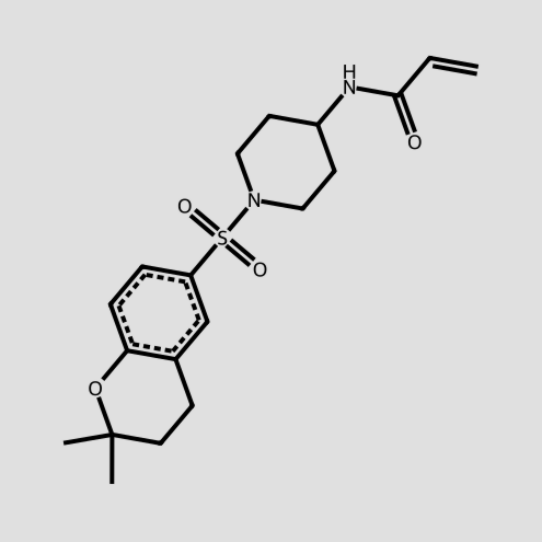 C=CC(=O)NC1CCN(S(=O)(=O)c2ccc3c(c2)CCC(C)(C)O3)CC1